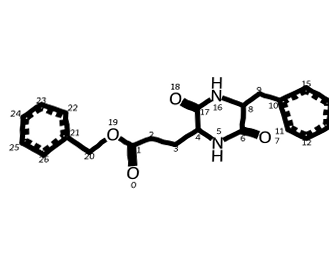 O=C(CCC1NC(=O)C(Cc2ccccc2)NC1=O)OCc1ccccc1